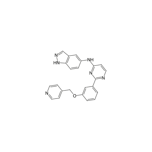 c1cc(OCc2ccncc2)cc(-c2nccc(Nc3ccc4[nH]ncc4c3)n2)c1